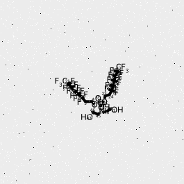 O=P(O)(OCCC(F)(F)C(F)(F)C(F)(F)C(F)(F)C(F)(F)C(F)(F)F)OCCC(F)(F)C(F)(F)C(F)(F)C(F)(F)C(F)(F)C(F)(F)F.OCCNCCO